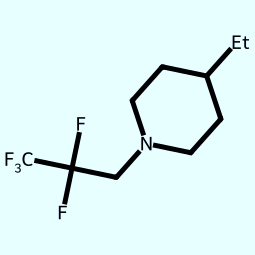 CCC1CCN(CC(F)(F)C(F)(F)F)CC1